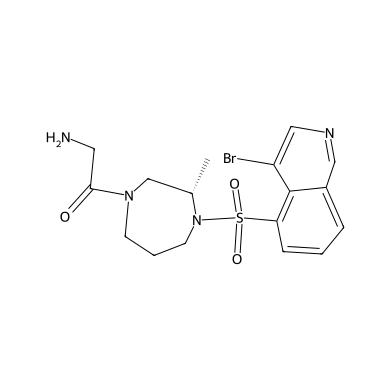 C[C@H]1CN(C(=O)CN)CCCN1S(=O)(=O)c1cccc2cncc(Br)c12